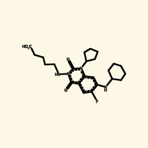 O=C(O)CCCCNn1c(=O)c2cc(F)c(NC3CCCCC3)cc2n(C2CCCC2)c1=O